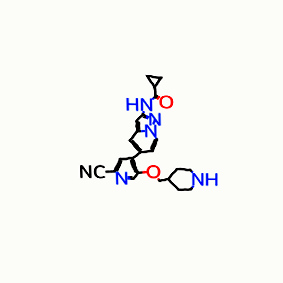 N#Cc1cc(-c2ccn3nc(NC(=O)C4CC4)cc3c2)c(OCC2CCNCC2)cn1